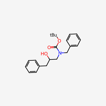 CC(C)(C)OC(=O)N(Cc1ccccc1)CC(O)Cc1ccccc1